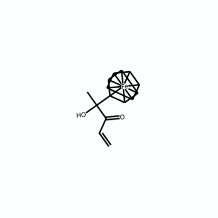 C=CC(=O)C(C)(O)[C]12[CH]3[CH]4[CH]5[CH]1[Fe]45321678[CH]2[CH]1[CH]6[CH]7[CH]28